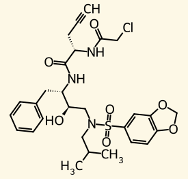 C#CC[C@H](NC(=O)CCl)C(=O)N[C@@H](Cc1ccccc1)[C@H](O)CN(CC(C)C)S(=O)(=O)c1ccc2c(c1)OCO2